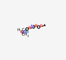 CC(=O)NC(C)c1ccc(OCc2ccc(Oc3cccc(OCC4CC4)c3)cn2)cc1F